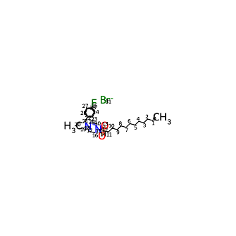 CCCCCCCCCCCCS(=O)(=O)N1CC[N+](CC)(Cc2ccc(F)cc2)CC1.[Br-]